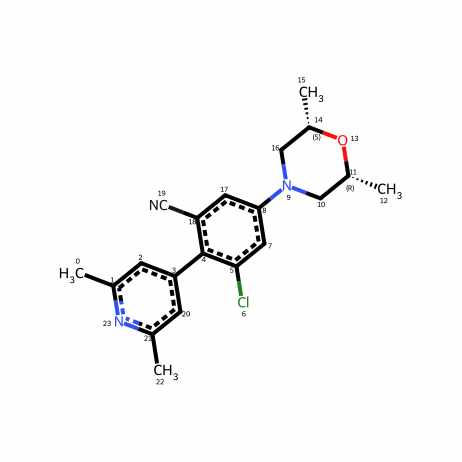 Cc1cc(-c2c(Cl)cc(N3C[C@@H](C)O[C@@H](C)C3)cc2C#N)cc(C)n1